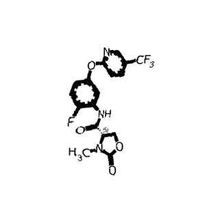 CN1C(=O)OC[C@H]1C(=O)Nc1cc(Oc2ccc(C(F)(F)F)cn2)ccc1F